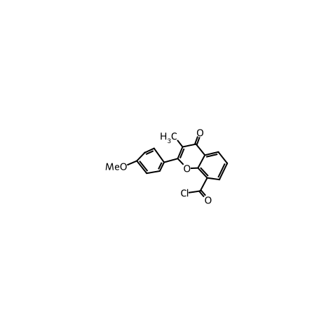 COc1ccc(-c2oc3c(C(=O)Cl)cccc3c(=O)c2C)cc1